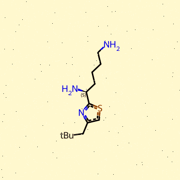 CC(C)(C)Cc1csc([C@@H](N)CCCCN)n1